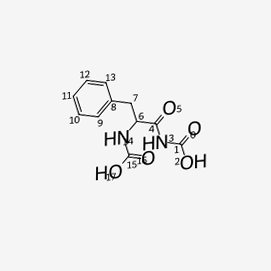 O=C(O)NC(=O)C(Cc1ccccc1)NC(=O)O